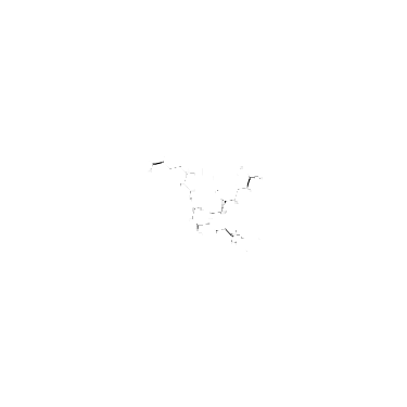 CC(C)=CCCC(C)CCOC(CC(C)CCC=C(C)C)OCCC(C)CCC=C(C)C